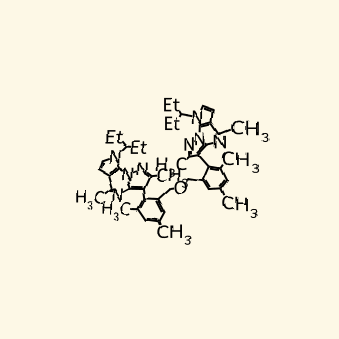 CCC(CC)n1ccc2c(C)nc3c(-c4c(C)cc(C)cc4COCc4cc(C)cc(C)c4-c4c(C)nn5c4nc(C)c4ccn(C(CC)CC)c45)c(C)nn3c21